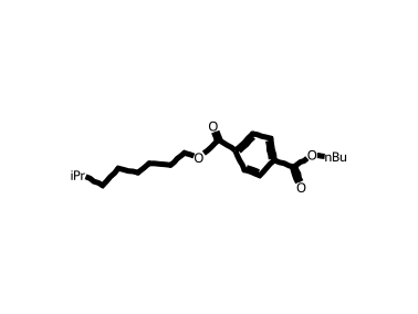 CCCCOC(=O)c1ccc(C(=O)OCCCCCCC(C)C)cc1